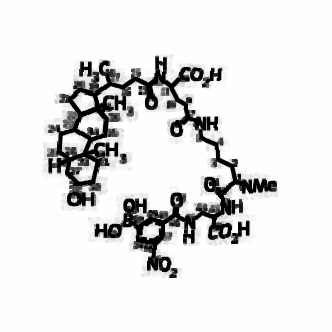 CNC(CCCCNC(=O)CCC(NC(=O)CCC(C)C1CCC2C3CC[C@H]4C[C@@H](O)CC[C@@]4(C)C3CC[C@@]12C)C(=O)O)C(=O)NC(CNC(=O)c1cc(B(O)O)cc([N+](=O)[O-])c1)C(=O)O